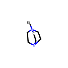 [CH2]C[N+]12CCN(CC1)CC2